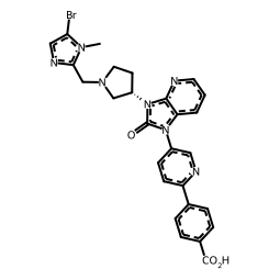 Cn1c(Br)cnc1CN1CC[C@H](n2c(=O)n(-c3ccc(-c4ccc(C(=O)O)cc4)nc3)c3cccnc32)C1